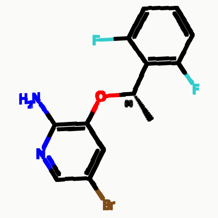 C[C@H](Oc1cc(Br)cnc1N)c1c(F)cccc1F